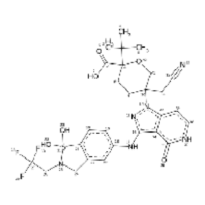 CC(C)(C)C1(C(=O)O)CCC(CC#N)(n2nc(Nc3ccc4c(c3)CN(CC(F)(F)F)S4(O)O)c3c(=O)[nH]ccc32)CO1